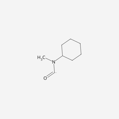 CN([C]=O)C1CCCCC1